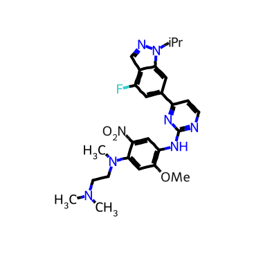 COc1cc(N(C)CCN(C)C)c([N+](=O)[O-])cc1Nc1nccc(-c2cc(F)c3cnn(C(C)C)c3c2)n1